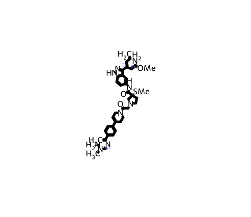 C=C/C=C(\C=C(/N)OC)c1n[nH]c2ccc(NC(=O)[C@]3(SC)CCN(CC(=O)N4CC=C(c5ccc(C(=C)/N=C\N(C)N)cc5)CC4)C3)cc12